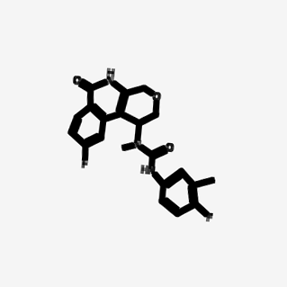 Cc1cc(NC(=O)N(C)C2COCc3[nH]c(=O)c4ccc(F)cc4c32)ccc1F